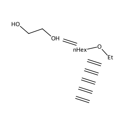 C=C.C=C.C=C.C=C.C=C.C=C.CCCCCCOCC.OCCO